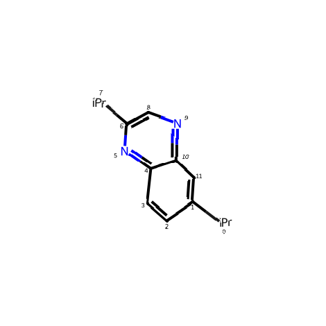 CC(C)c1ccc2nc(C(C)C)cnc2c1